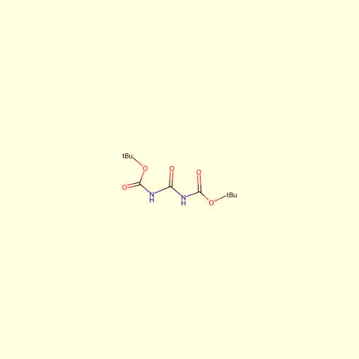 CC(C)(C)OC(=O)NC(=O)NC(=O)OC(C)(C)C